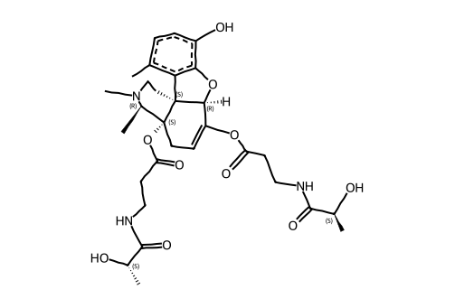 Cc1ccc(O)c2c1[C@]13CCN(C)[C@H](C)[C@]1(OC(=O)CCNC(=O)[C@H](C)O)CC=C(OC(=O)CCNC(=O)[C@H](C)O)[C@@H]3O2